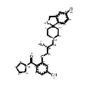 O=C(c1ccc(O)cc1OC[C@@H](O)CN1CCC2(CC1)OCc1cc(Cl)ccc12)N1CCCC1